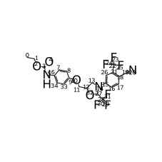 CCOC(=O)Nc1ccc(OCC2CN(c3ccc(C#N)c(C(F)(F)F)c3)C(C(F)(F)F)O2)cc1